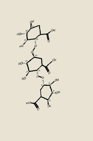 O=C(O)C1C[C@H](OO[C@H]2C(C(=O)O)C[C@H](OO[C@H]3C(C(=O)O)C[C@H](O)[C@@H](O)[C@@H]3O)[C@@H](O)[C@@H]2O)[C@@H](O)[C@H](O)[C@H]1O